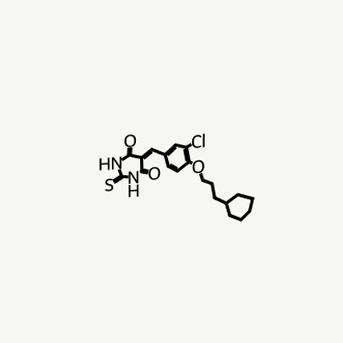 O=C1NC(=S)NC(=O)C1=Cc1ccc(OCCCC2CCCCC2)c(Cl)c1